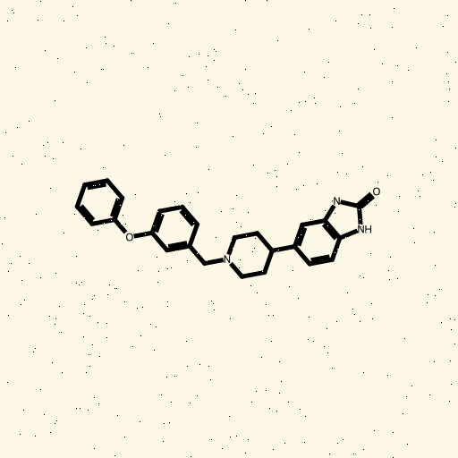 O=C1[N]c2cc(C3CCN(Cc4cccc(Oc5ccccc5)c4)CC3)ccc2N1